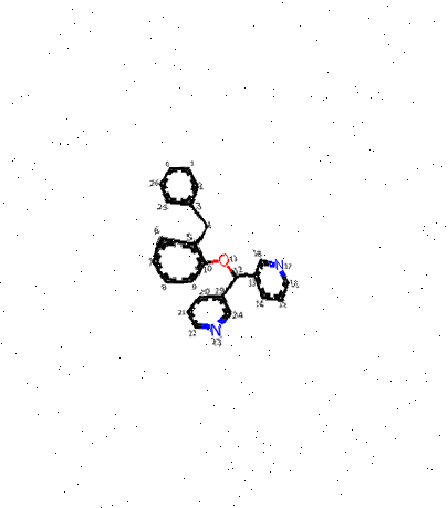 c1ccc(Cc2ccccc2OC(c2cccnc2)c2cccnc2)cc1